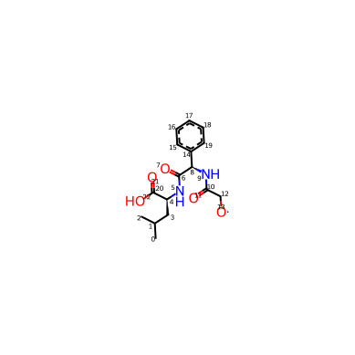 CC(C)C[C@H](NC(=O)[C@H](NC(=O)C[O])c1ccccc1)C(=O)O